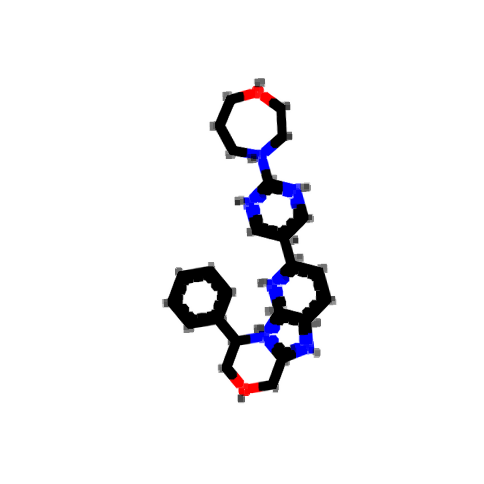 c1ccc(C2COCc3nc4ccc(-c5cnc(N6CCCOCC6)nc5)nc4n32)cc1